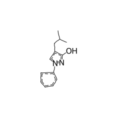 CC(C)Cc1cn(-c2ccccc2)nc1O